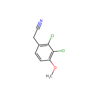 COc1ccc(CC#N)c(Cl)c1Cl